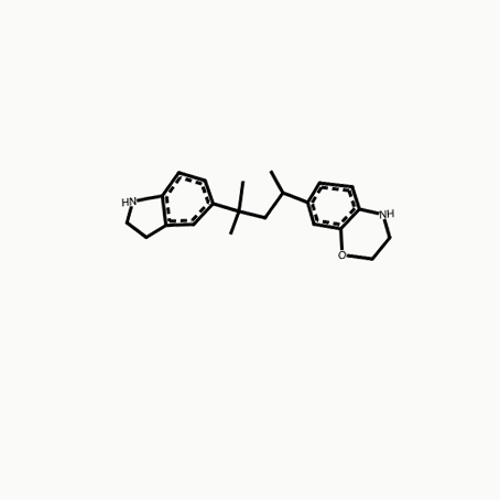 CC(CC(C)(C)c1ccc2c(c1)CCN2)c1ccc2c(c1)OCCN2